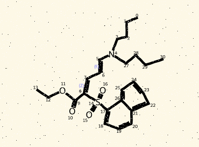 CCCCN(/C=C/C=C(/C(=O)OCC)S(=O)(=O)c1cccc2ccccc12)CCCC